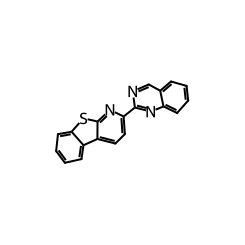 c1ccc2nc(-c3ccc4c(n3)sc3ccccc34)ncc2c1